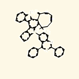 C=C1/C=C\C=C/CC(C)(C)c2c1c1oc3ccccc3c1c1c3ccccc3n(-c3ccc4nc(-c5ccccc5)nc(-c5ccccc5)c4c3)c21